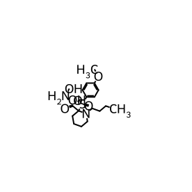 CCCCN1CCCCC1(C(=O)O)S(=O)(=O)c1ccc(OC)cc1.NO